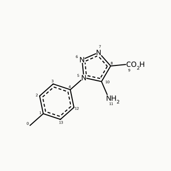 Cc1ccc(-n2nnc(C(=O)O)c2N)cc1